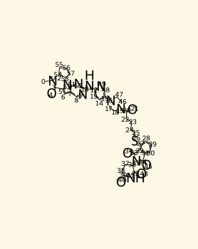 CN(C)C(=O)c1cc2cnc(Nc3ccc(N4CCN(C(=O)CCCCSc5cccc6c5C(=O)N(C5CCC(=O)NC5=O)C6=O)CC4)cn3)nc2n1C1CCCC1